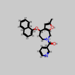 Cc1cc2c(o1)CN(C(=O)c1cccnc1)CCC2Oc1cccc2ccccc12